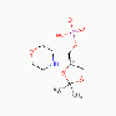 C1COCCN1.CC1(C)OC[C@H](COP(=O)(O)O)O1